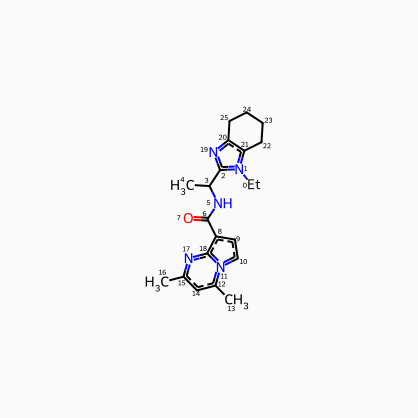 CCn1c(C(C)NC(=O)c2ccn3c(C)cc(C)nc23)nc2c1CCCC2